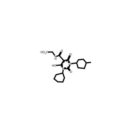 CC1CCC(n2c(=O)c(C(=O)NCC(=O)O)c(O)n(C3CCCCC3)c2=O)CC1